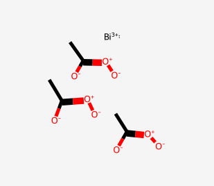 CC([O-])=[O+][O-].CC([O-])=[O+][O-].CC([O-])=[O+][O-].[Bi+3]